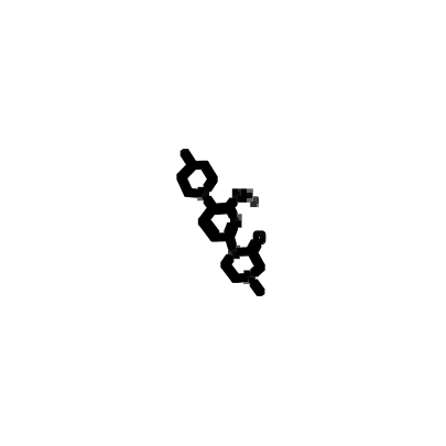 CC1CCN(c2ccc(N3CCN(C)CC3=O)nc2N)CC1